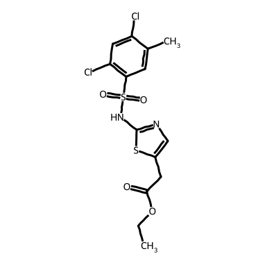 CCOC(=O)Cc1cnc(NS(=O)(=O)c2cc(C)c(Cl)cc2Cl)s1